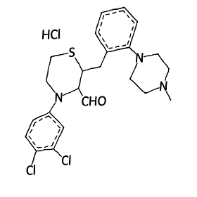 CN1CCN(c2ccccc2CC2SCCN(c3ccc(Cl)c(Cl)c3)C2C=O)CC1.Cl